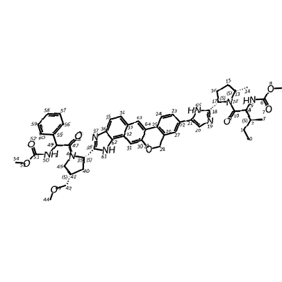 CC[C@H](C)[C@H](NC(=O)OC)C(=O)N1[C@@H](C)CC[C@H]1c1ncc(-c2ccc3c(c2)COc2cc4c(ccc5nc([C@@H]6C[C@H](COC)CN6C(=O)C(NC(=O)OC)c6ccccc6)[nH]c54)cc2-3)[nH]1